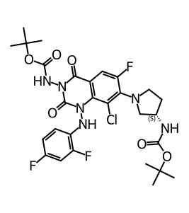 CC(C)(C)OC(=O)N[C@H]1CCN(c2c(F)cc3c(=O)n(NC(=O)OC(C)(C)C)c(=O)n(Nc4ccc(F)cc4F)c3c2Cl)C1